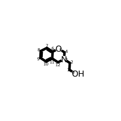 OCCN1COc2ccccc2C1